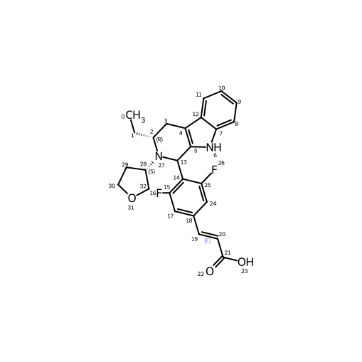 CC[C@@H]1Cc2c([nH]c3ccccc23)C(c2c(F)cc(/C=C/C(=O)O)cc2F)N1[C@H]1CCOC1